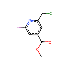 COC(=O)c1cc(I)nc(CCl)c1